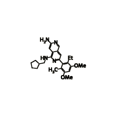 CCc1c(OC)cc(OC)c(C)c1-c1cc2cnc(N)cc2c(NCC2CCCC2)n1